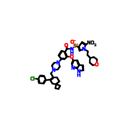 O=C(N[S+]([O-])c1cc([N+](=O)[O-])n(CCC2CCOCC2)c1)c1ccc(N2CCN(CC3=C(c4ccc(Cl)cc4)CC4(CCC4)CC3)CC2)cc1Oc1cnc2[nH]ccc2c1